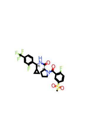 CS(=O)(=O)c1ccc(F)c(C(=O)N2CCC[C@@H]2C(=O)N[C@@H](c2ccc(C(F)(F)F)cc2F)C2CC2)c1